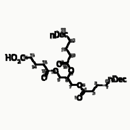 CCCCCCCCCCCCCC(=O)OCC(COC(=O)CCCC(=O)O)OC(=O)CCCCCCCCCCCCC